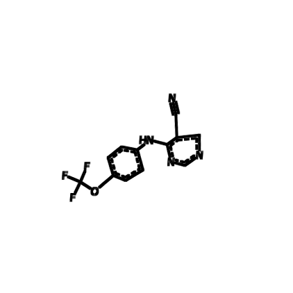 N#Cc1cncnc1Nc1ccc(OC(F)(F)F)cc1